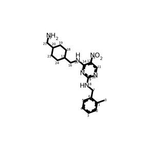 Cc1ccccc1CNc1ncc([N+](=O)[O-])c(NCC2CCC(CN)CC2)n1